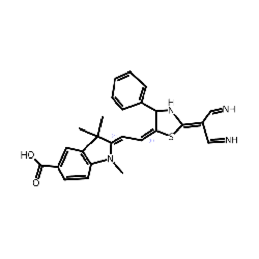 CN1/C(=C\C=C2\SC(=C(C=N)C=N)NC2c2ccccc2)C(C)(C)c2cc(C(=O)O)ccc21